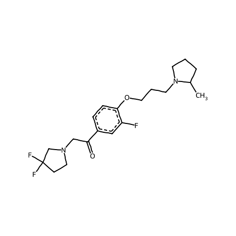 CC1CCCN1CCCOc1ccc(C(=O)CN2CCC(F)(F)C2)cc1F